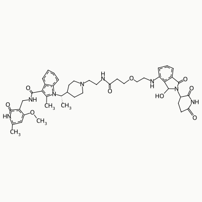 COc1cc(C)[nH]c(=O)c1CNC(=O)c1c(C)n([C@@H](C)C2CCN(CCNC(=O)CCOCCNc3cccc4c3C(O)N(C3CCC(=O)NC3=O)C4=O)CC2)c2ccccc12